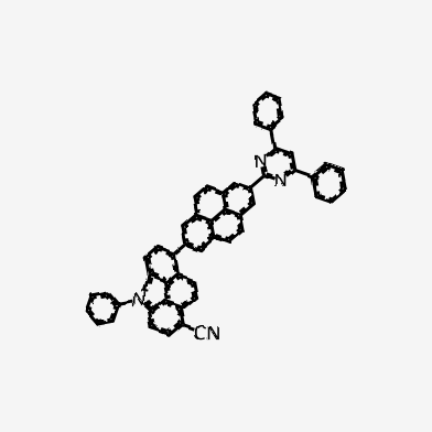 N#Cc1ccc2c3c1ccc1c(-c4cc5ccc6cc(-c7nc(-c8ccccc8)cc(-c8ccccc8)n7)cc7ccc(c4)c5c67)ccc(c13)n2-c1ccccc1